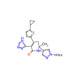 CCCCCCn1cc(C2(C)CC(c3ccc(C4CC4)s3)=C(c3nnc[nH]3)C(=O)N2)cn1